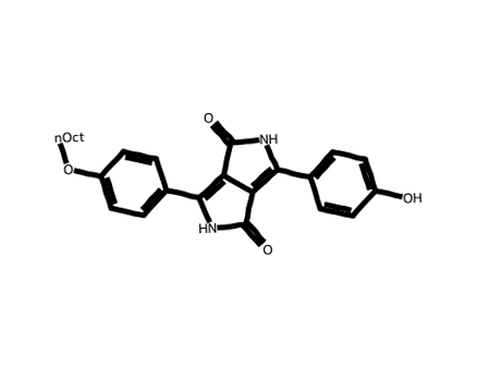 CCCCCCCCOc1ccc(C2=C3C(=O)NC(c4ccc(O)cc4)=C3C(=O)N2)cc1